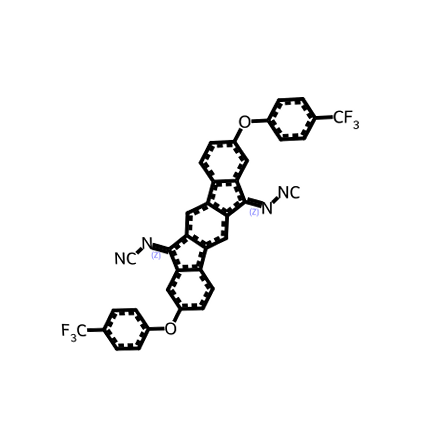 [C-]#[N+]/N=c1\c2cc(Oc3ccc(C(F)(F)F)cc3)ccc2c2cc3/c(=N/C#N)c4cc(Oc5ccc(C(F)(F)F)cc5)ccc4c3cc12